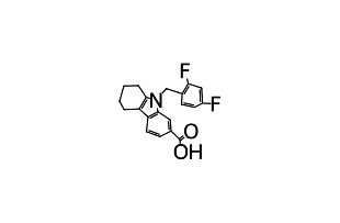 O=C(O)c1ccc2c3c(n(Cc4ccc(F)cc4F)c2c1)CCCC3